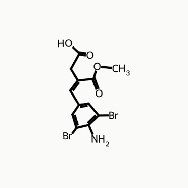 COC(=O)C(=Cc1cc(Br)c(N)c(Br)c1)CC(=O)O